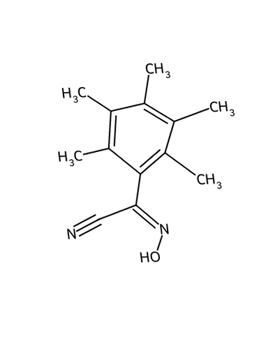 Cc1c(C)c(C)c(C(C#N)=NO)c(C)c1C